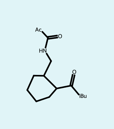 CCC(C)C(=O)C1CCCCC1CNC(=O)C(C)=O